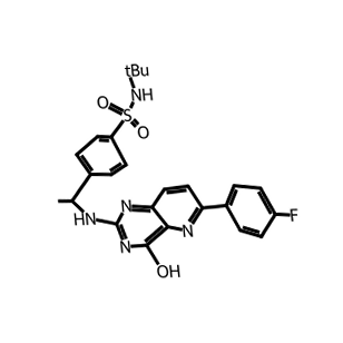 CC(Nc1nc(O)c2nc(-c3ccc(F)cc3)ccc2n1)c1ccc(S(=O)(=O)NC(C)(C)C)cc1